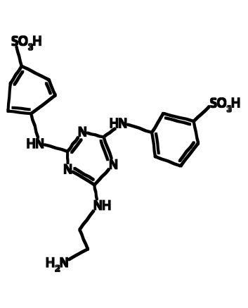 NCCNc1nc(Nc2ccc(S(=O)(=O)O)cc2)nc(Nc2cccc(S(=O)(=O)O)c2)n1